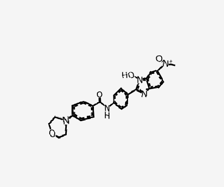 C[N+](=O)c1ccc2nc(-c3ccc(NC(=O)c4ccc(N5CCOCC5)cc4)cc3)n(O)c2c1